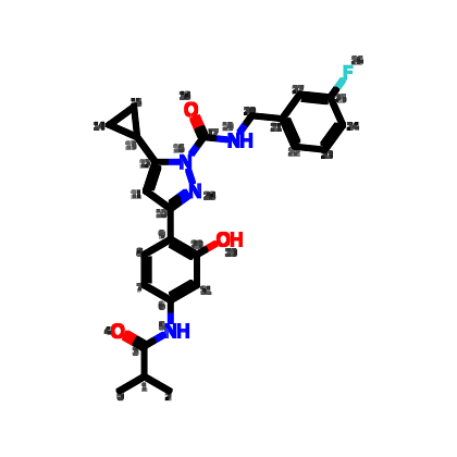 CC(C)C(=O)Nc1ccc(-c2cc(C3CC3)n(C(=O)NCc3cccc(F)c3)n2)c(O)c1